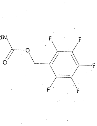 CC(C)(C)C(=O)OCc1c(F)c(F)c(F)c(F)c1F